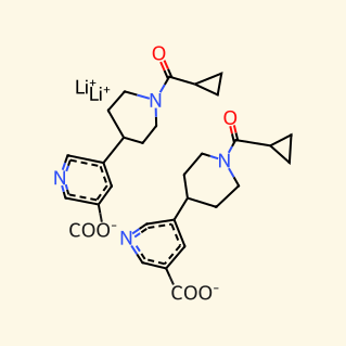 O=C([O-])c1cncc(C2CCN(C(=O)C3CC3)CC2)c1.O=C([O-])c1cncc(C2CCN(C(=O)C3CC3)CC2)c1.[Li+].[Li+]